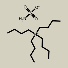 CCCC[N+](CCCC)(CCCC)CCCC.NS(=O)(=O)[O-]